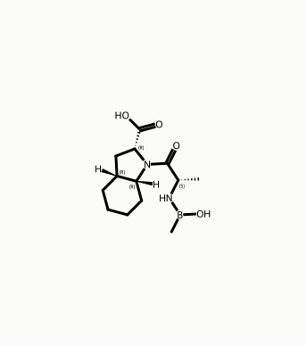 CB(O)N[C@@H](C)C(=O)N1[C@@H](C(=O)O)C[C@H]2CCCC[C@H]21